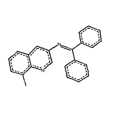 Cc1cccc2cc(N=C(c3ccccc3)c3ccccc3)cnc12